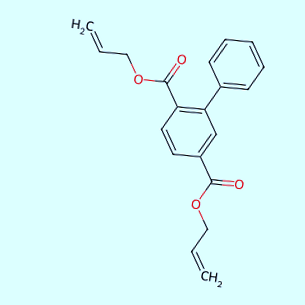 C=CCOC(=O)c1ccc(C(=O)OCC=C)c(-c2ccccc2)c1